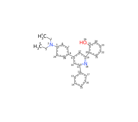 CCN(CC)c1ccc(-c2cc(-c3ccccc3)nc(-c3ccccc3O)c2)cc1